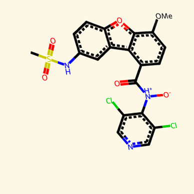 COc1ccc(C(=O)[NH+]([O-])c2c(Cl)cncc2Cl)c2c1oc1ccc(NS(C)(=O)=O)cc12